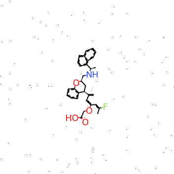 C=C(/C=C(\C=C(/C)F)OCC(=O)O)[C@@H]1C[C@H](CN[C@H](C)c2cccc3ccccc23)Oc2ccccc21